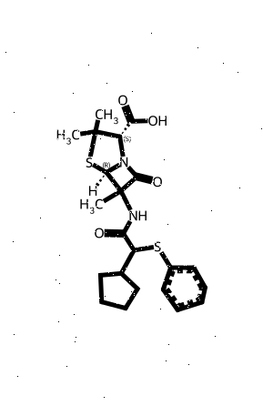 CC1(C)S[C@H]2N(C(=O)C2(C)NC(=O)C(Sc2ccccc2)C2CCCC2)[C@H]1C(=O)O